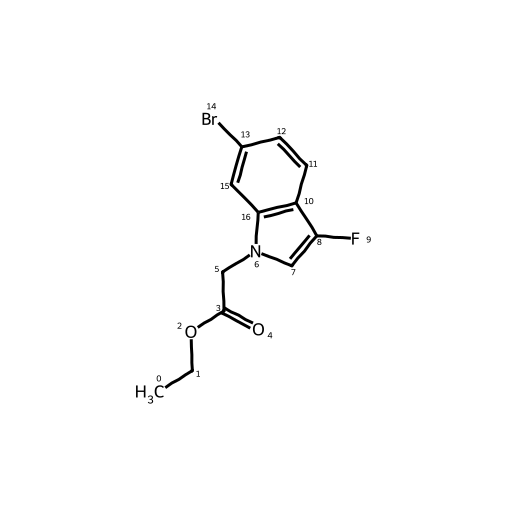 CCOC(=O)Cn1cc(F)c2ccc(Br)cc21